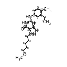 CCc1cc(Nc2nc3nnn(CCCCCOC)c3c(=O)[nH]2)ccc1C